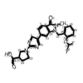 Cn1c(=O)c2ccc(-c3cnc(N4CCC(C(=O)O)C4)nc3)cc2n1Cc1ccccc1OC(F)F